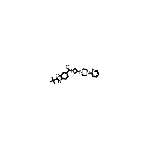 CC(C)(C)c1nc2ccc(C(=O)N3CC(N4CCN(c5ccccn5)CC4)C3)cc2o1